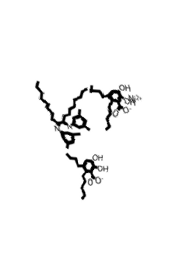 CCCCCCCCC(=Nc1cc(C)cc(C)c1)C(CCCCCCCC)=Nc1cc(C)cc(C)c1.CCCCCc1c(CCCC)cc(O)c(O)c1C(=O)[O-].CCCCCc1c(CCCC)cc(O)c(O)c1C(=O)[O-].[Ni+2]